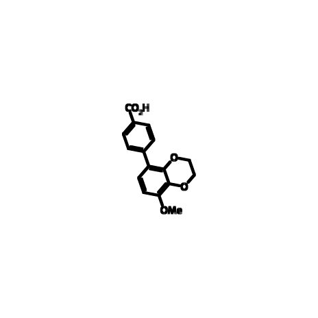 COc1ccc(-c2ccc(C(=O)O)cc2)c2c1OCCO2